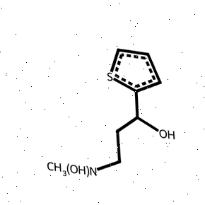 CN(O)CCC(O)c1cccs1